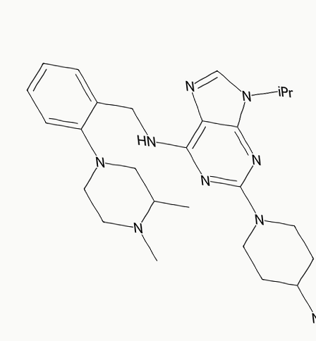 CC1CN(c2ccccc2CNc2nc(N3CCC(N)CC3)nc3c2ncn3C(C)C)CCN1C